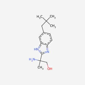 CC(C)(C)Cc1ccc2nc(C(C)(N)CO)[nH]c2c1